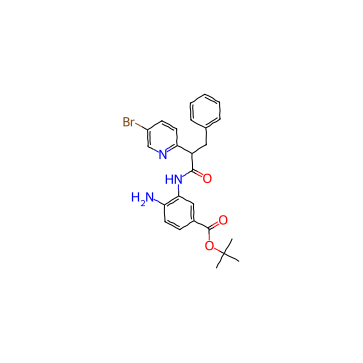 CC(C)(C)OC(=O)c1ccc(N)c(NC(=O)C(Cc2ccccc2)c2ccc(Br)cn2)c1